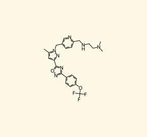 Cc1cc(-c2nc(-c3ccc(OC(F)(F)F)cc3)no2)nn1Cc1ccc(CNCCN(C)C)nc1